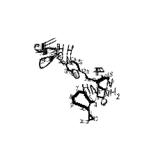 NC(=O)[C@H](Cc1ccccc1C1CC1)Nc1cncc(F)c1CC[C@@H]1CN[C@H](COC(=O)NCC(F)(F)F)CO1